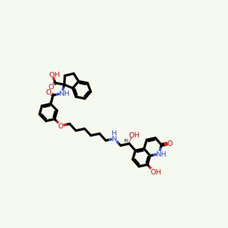 O=C(NC1(C(=O)O)CCc2ccccc21)c1cccc(OCCCCCCNC[C@H](O)c2ccc(O)c3[nH]c(=O)ccc23)c1